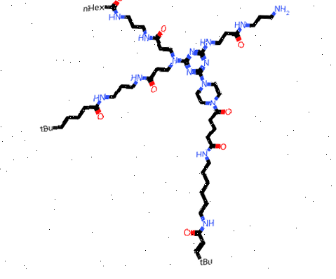 CCCCCCC(=O)NCCCNC(=O)CCN(CCC(=O)NCCCNC(=O)CCCCC(C)(C)C)c1nc(NCCC(=O)NCCCN)nc(N2CCN(C(=O)CCCC(=O)NCCCCCCNC(=O)/C=C/C(C)(C)C)CC2)n1